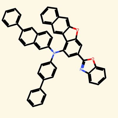 c1ccc(-c2ccc(N(c3ccc4cc(-c5ccccc5)ccc4c3)c3cc(-c4nc5ccccc5o4)cc4oc5cc6ccccc6cc5c34)cc2)cc1